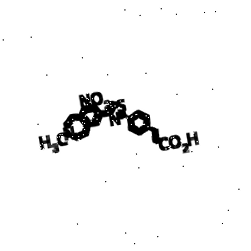 CN1CCc2cc(-c3csc([C@H]4CC[C@H](CCC(=O)O)CC4)n3)c([N+](=O)[O-])cc2CC1